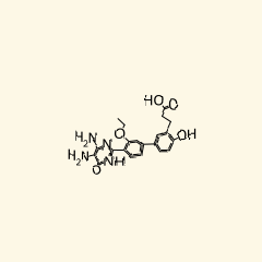 CCOc1cc(-c2ccc(O)c(CCC(=O)O)c2)ccc1-c1nc(N)c(N)c(=O)[nH]1